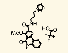 COc1c(C(=O)NCCCn2ccnc2)sc2c1c(=O)n(C)c1ccccc21.O=C(O)C(F)(F)F